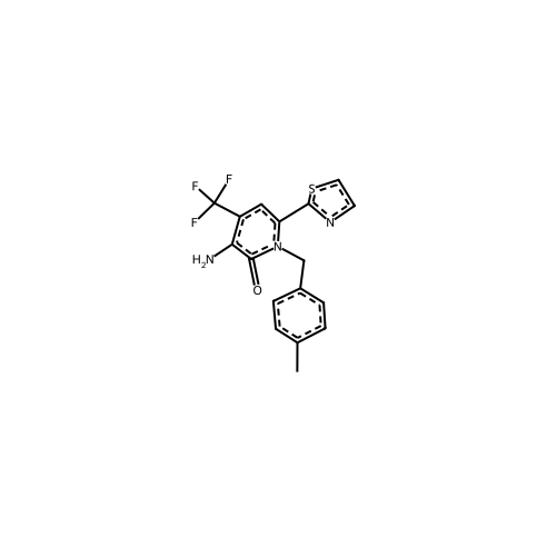 Cc1ccc(Cn2c(-c3nccs3)cc(C(F)(F)F)c(N)c2=O)cc1